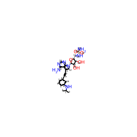 CC(C)Nc1cccc(C#Cc2cn([C@@H]3O[C@H](CNS(N)(=O)=O)[C@@H](O)[C@H]3O)c3ncnc(N)c23)c1